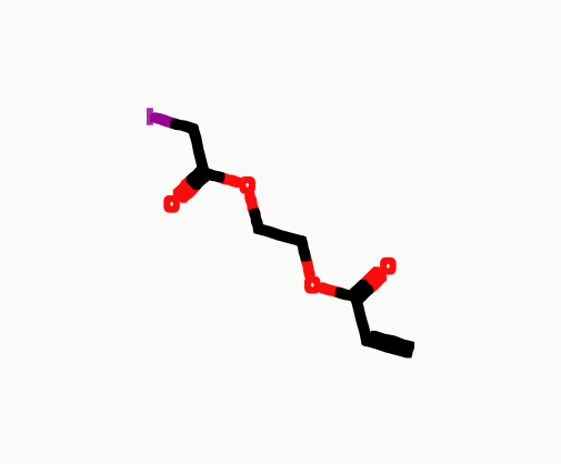 C=CC(=O)OCCOC(=O)CI